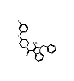 Cc1c(C(=O)N2CCC(Oc3cccc(F)c3)CC2)c2ccccc2n1Cc1ccccc1